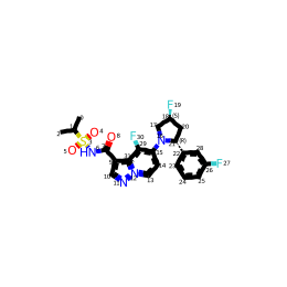 CC(C)S(=O)(=O)NC(=O)c1cnn2ccc(N3C[C@@H](F)C[C@@H]3c3cccc(F)c3)c(F)c12